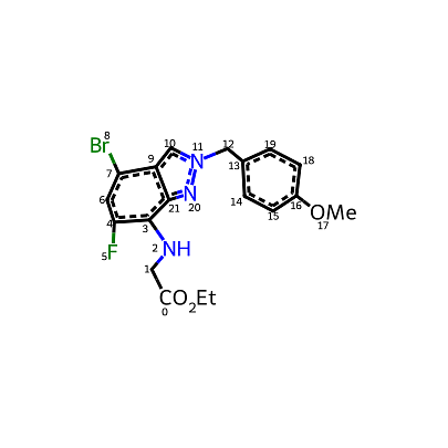 CCOC(=O)CNc1c(F)cc(Br)c2cn(Cc3ccc(OC)cc3)nc12